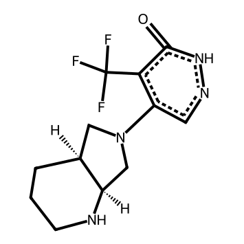 O=c1[nH]ncc(N2C[C@@H]3CCCN[C@@H]3C2)c1C(F)(F)F